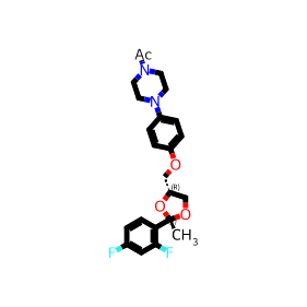 CC(=O)N1CCN(c2ccc(OC[C@@H]3CO[C@](C)(c4ccc(F)cc4F)O3)cc2)CC1